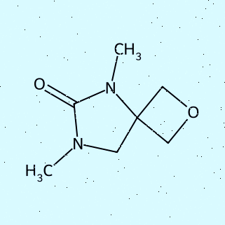 CN1CC2(COC2)N(C)C1=O